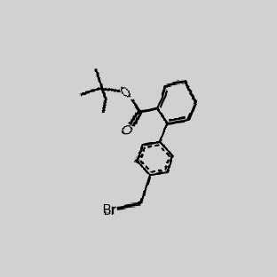 CC(C)(C)OC(=O)C1=CCCC=C1c1ccc(CBr)cc1